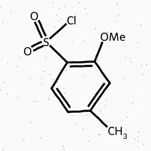 COc1cc(C)ccc1S(=O)(=O)Cl